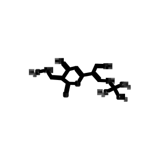 CN/C=C1\C(=N)C=C(/C(C=N)=C/NC(C)(C)C)OC1=O